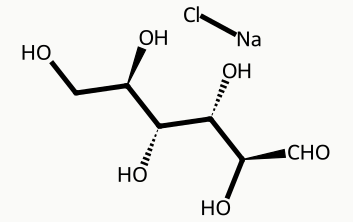 O=C[C@@H](O)[C@@H](O)[C@H](O)[C@H](O)CO.[Na][Cl]